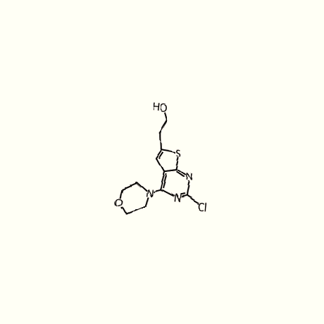 OCCc1cc2c(N3CCOCC3)nc(Cl)nc2s1